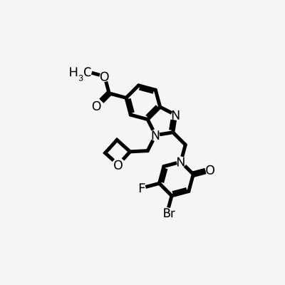 COC(=O)c1ccc2nc(Cn3cc(F)c(Br)cc3=O)n(CC3CCO3)c2c1